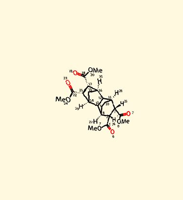 COC(=O)[C@@H]1[C@H](C(=O)OC)[C@@H]2CC[C@H]1C1C2[C@@H]2C[C@H]1[C@@H](C(=O)OC)[C@H]2C(=O)OC